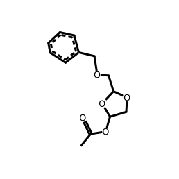 CC(=O)OC1COC(COCc2ccccc2)O1